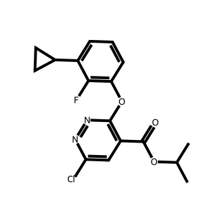 CC(C)OC(=O)c1cc(Cl)nnc1Oc1cccc(C2CC2)c1F